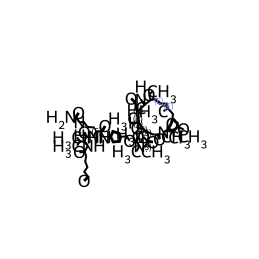 COc1cc2cc(c1Cl)N(C)C(=O)C[C@H](OC(=O)[C@H](C)N(C)C(=O)OCc1ccc(NC(=O)[C@H](CCCNC(N)=O)NC(=O)C(NC(=O)CCCCC=O)C(C)C)cc1)[C@]1(C)O[C@H]1[C@H](C)[C@H]1CC(=O)NC(C1)C(OC)/C=C/C=C(\C)C2